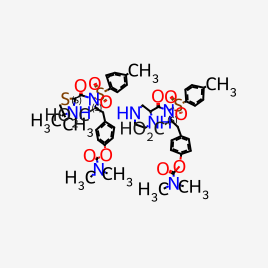 Cc1ccc(S(=O)(=O)N(C(=O)C2CNCCN2)[C@@H](Cc2ccc(OC(=O)N(C)C)cc2)C(=O)O)cc1.Cc1ccc(S(=O)(=O)N(C(=O)[C@H]2NC(C)(C)CS2)[C@@H](Cc2ccc(OC(=O)N(C)C)cc2)C(=O)O)cc1